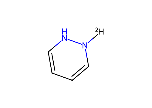 [2H]N1C=CC=CN1